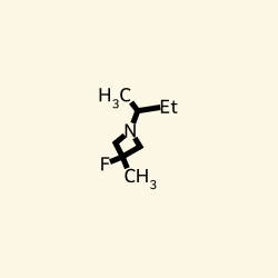 CCC(C)N1CC(C)(F)C1